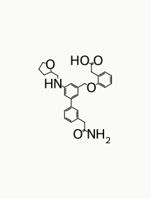 NC(=O)Cc1cccc(-c2cc(COc3ccccc3CC(=O)O)cc(NCC3CCCO3)c2)c1